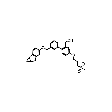 CS(=O)(=O)CCCOc1ccc(-c2cccc(COc3ccc4c(c3)CC3CC43)c2)c(CO)n1